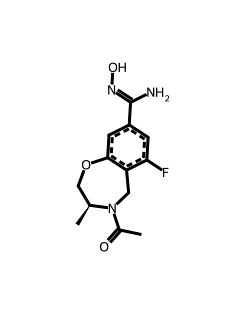 CC(=O)N1Cc2c(F)cc(C(N)=NO)cc2OC[C@@H]1C